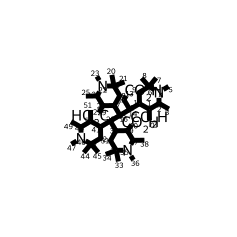 CC1C(C)N(C)C(C)(C)CC1C(CC(=O)O)(C(=O)O)C(C(=O)O)(C1CC(C)(C)N(C)C(C)C1C)C(C(=O)O)(C1CC(C)(C)N(C)C(C)C1C)C1CC(C)(C)N(C)C(C)C1C